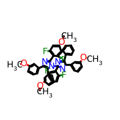 COc1cccc(C2=NC(c3c(F)cccc3F)(n3c(-c4c(F)cccc4F)nc(-c4cccc(OC)c4)c3-c3cccc(OC)c3)N=C2c2cccc(OC)c2)c1